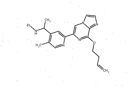 C=CCCOc1nc(-c2cc(C(C)NCC)c(C)cn2)cn2ccnc12